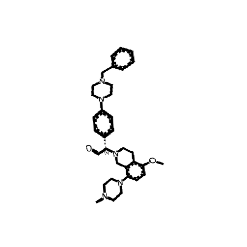 COc1ccc(N2CCN(C)CC2)c2c1CCN([C@H](C=O)c1ccc(N3CCN(Cc4ccccc4)CC3)cc1)C2